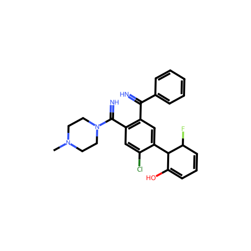 CN1CCN(C(=N)c2cc(Cl)c(C3C(O)=CC=CC3F)cc2C(=N)c2ccccc2)CC1